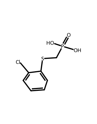 O=P(O)(O)CSc1ccccc1Cl